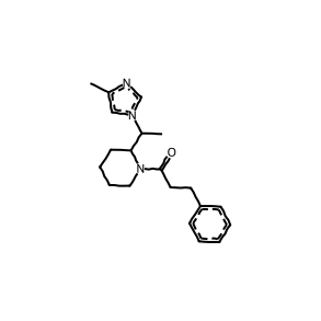 Cc1cn(C(C)C2CCCCN2C(=O)CCc2ccccc2)cn1